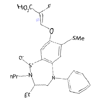 CCCN1C(CC)CN(c2ccccc2)c2cc(SC)c(O/C=C(\F)C(=O)O)cc2[S+]1[O-]